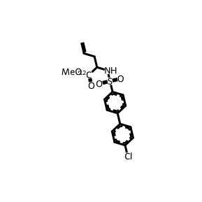 C=CCC(NS(=O)(=O)c1ccc(-c2ccc(Cl)cc2)cc1)[12C](=O)OC